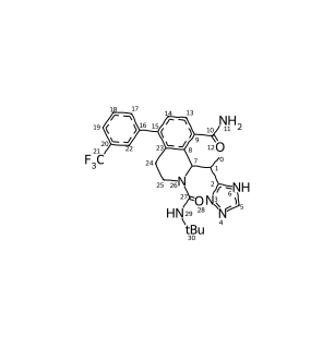 CC(c1nnc[nH]1)C1c2c(C(N)=O)ccc(-c3cccc(C(F)(F)F)c3)c2CCN1C(=O)NC(C)(C)C